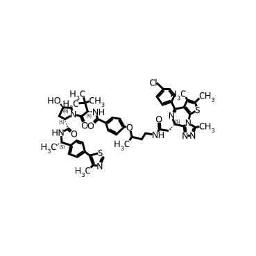 Cc1ncsc1-c1ccc([C@H](C)NC(=O)[C@@H]2C[C@@H](O)CN2C(=O)[C@@H](NC(=O)c2ccc(OC(C)CCNC(=O)C[C@@H]3N=C(c4ccc(Cl)cc4)c4c(sc(C)c4C)-n4c(C)nnc43)cc2)C(C)(C)C)cc1